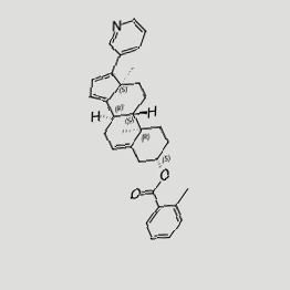 Cc1ccccc1C(=O)O[C@H]1CC[C@@]2(C)C(=CC[C@H]3C4=CC=C(c5cccnc5)[C@@]4(C)CC[C@@H]32)C1